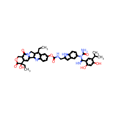 CCc1c2c(nc3ccc(OC(=O)NCc4cc5cc(N(C(=N)c6cc(C(C)C)c(O)cc6O)C(N)=O)ccc5[nH]4)cc13)-c1cc3c(c(=O)n1C2)COC(=O)C3(O)CC